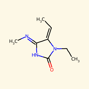 C/C=C1\C(=NC)NC(=O)N1CC